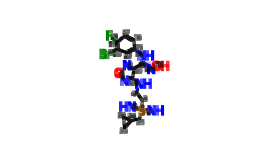 N=S(=N)(CCNc1nonc1/C(=N/O)Nc1ccc(F)c(Br)c1)CC1CC1